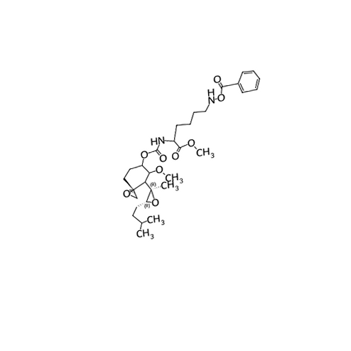 COC(=O)C(CCCCNOC(=O)c1ccccc1)NC(=O)OC1CC[C@]2(CO2)C([C@@]2(C)O[C@@H]2CCC(C)C)C1OC